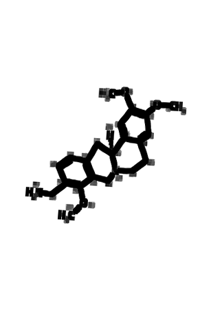 COc1cc2c(cc1OC)[C@@H]1Cc3ccc(CN)c(OC)c3CN1CC2